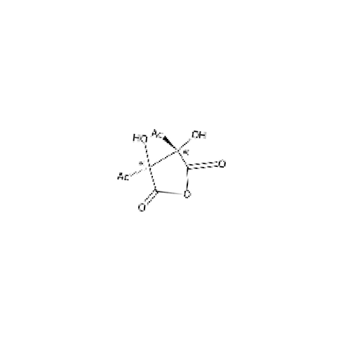 CC(=O)[C@@]1(O)C(=O)OC(=O)[C@]1(O)C(C)=O